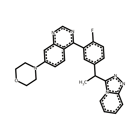 CC(c1ccc(F)c(-c2ncnc3cc(N4CCOCC4)ccc23)c1)c1nnc2ccccn12